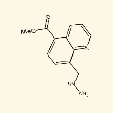 COC(=O)c1ccc(CNN)c2ncccc12